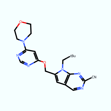 CC(C)(C)Cn1c(COc2cc(N3CCOCC3)ncn2)cc2cnc(C#N)nc21